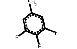 Fc1cc([SiH3])cc(F)c1F